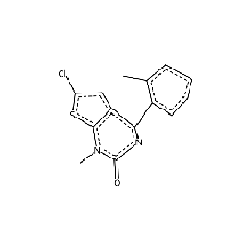 Cc1ccccc1-c1nc(=O)n(C)c2sc(Cl)cc12